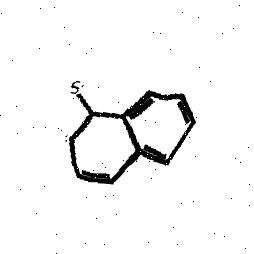 [S]C1[C]C=Cc2ccccc21